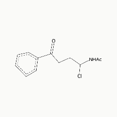 CC(=O)NC(Cl)CCC(=O)c1ccccc1